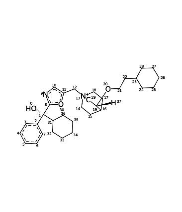 O[C@](c1ccccc1)(c1ncc(C[N+]23CCC(CC2)[C@@H](OCCC2CCCCC2)C3)o1)C1CCCCC1